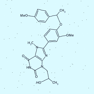 COc1ccc(C(C)Oc2ccc(-c3nc4c(c(=O)[nH]c(=O)n4CC(C)O)n3C)cc2OC)cc1